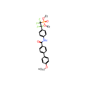 CCCCCCCCOc1ccc(-c2ccc(C(=O)Nc3ccc(C(F)(F)C(F)(F)P(=O)(OCC)OCC)cc3)cc2)cc1